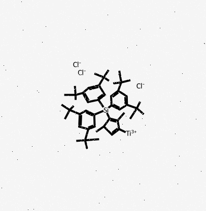 CC1=C([Si](c2cc(C(C)(C)C)cc(C(C)(C)C)c2)(c2cc(C(C)(C)C)cc(C(C)(C)C)c2)c2cc(C(C)(C)C)cc(C(C)(C)C)c2)C(C)C=[C]1[Ti+3].[Cl-].[Cl-].[Cl-]